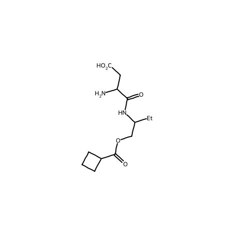 CCC(COC(=O)C1CCC1)NC(=O)C(N)CC(=O)O